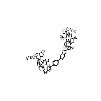 COC(=O)NC(C(=O)N1CC2(CC2)CC1c1ncc(-c2ccc3cc(-c4ccc(-c5cnc([C@@H]6[C@H]7CC[C@H](C7)N6C(=O)C(NC(=O)OC)C6CCOCC6)[nH]5)cc4)ccc3c2)[nH]1)C(C)C